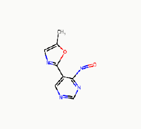 Cc1cnc(-c2cncnc2N=O)o1